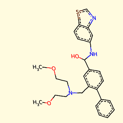 COCCN(CCOC)Cc1cc(C(O)Nc2ccc3scnc3c2)ccc1-c1ccccc1